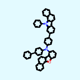 c1ccc(-c2ccc(N(c3ccc(-c4ccc5c6ccc7ccccc7c6n(-c6ccccc6)c5c4)cc3)c3cccc4oc5c6ccccc6ccc5c34)cc2)cc1